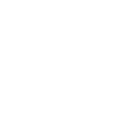 O=[C]CCCCc1c2ccccc2cc2ccccc12